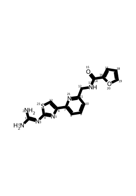 NC(N)=Nc1nc(-c2cccc(CNC(=O)c3ccco3)n2)cs1